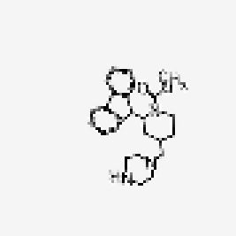 COC(=O)N1CCC(CN2CCNCC2)CC1C1c2ccccc2-c2ccccc21